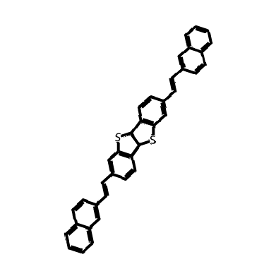 C(=C\c1ccc2ccccc2c1)/c1ccc2c(c1)SC1c3ccc(/C=C/c4ccc5ccccc5c4)cc3SC21